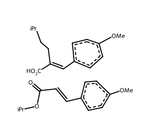 COc1ccc(C=C(CCC(C)C)C(=O)O)cc1.COc1ccc(C=CC(=O)OC(C)C)cc1